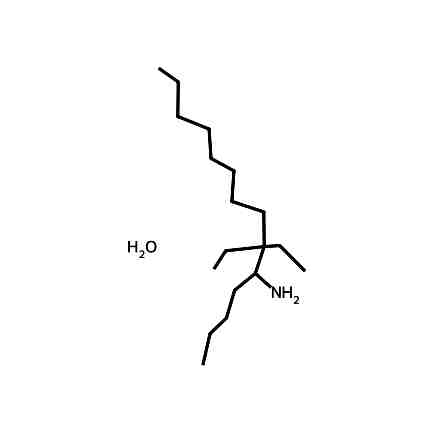 CCCCCCCCC(CC)(CC)C(N)CCCC.O